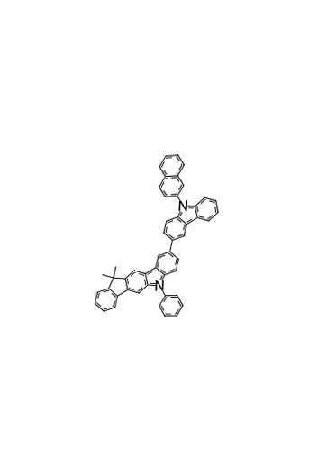 CC1(C)c2ccccc2-c2cc3c(cc21)c1cc(-c2ccc4c(c2)c2ccccc2n4-c2ccc4ccccc4c2)ccc1n3-c1ccccc1